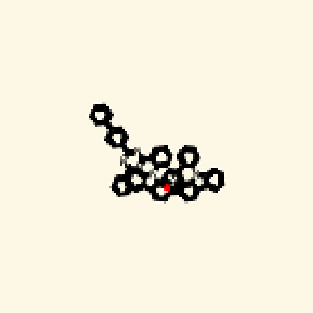 c1ccc(-c2ccc(-c3nc(-c4ccccc4)nc(-c4ccccc4-n4c5ccccc5c5ccc6c7ccc8c9ccccc9n(-c9ccccc9-c9ccccc9)c8c7sc6c54)n3)cc2)cc1